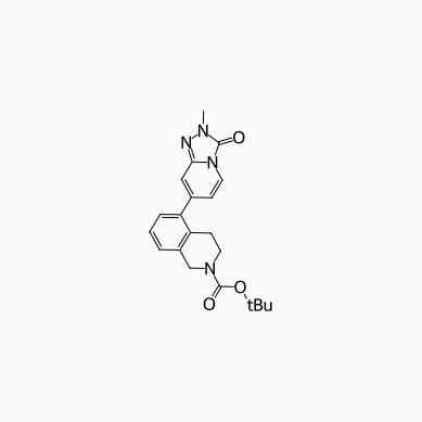 Cn1nc2cc(-c3cccc4c3CCN(C(=O)OC(C)(C)C)C4)ccn2c1=O